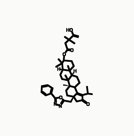 C=C(O)C(C)(C)CC(=O)OC1CCC2(C)[C@H]3CCC4C5=C(C(C)C)C(=O)C[C@]5(Cc5nnc(-c6ccccc6)o5)CC[C@@]4(C)C3(C)CC[C@H]2C1(C)C